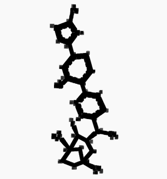 CN(c1cnc(-c2ccc(-c3csc(C#N)n3)cc2O)nn1)[C@H]1C[C@]2(C)CC[C@@](C)(C2)[C@H]1F